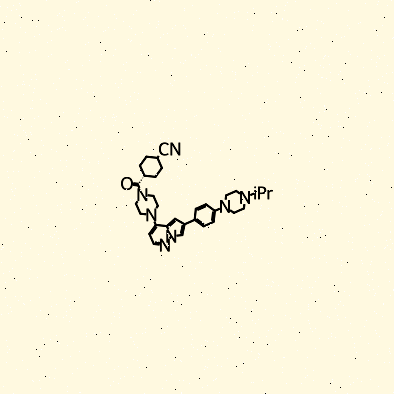 CC(C)N1CCN(c2ccc(-c3cc4c(N5CCN(C(=O)[C@H]6CC[C@H](C#N)CC6)CC5)ccnn4c3)cc2)CC1